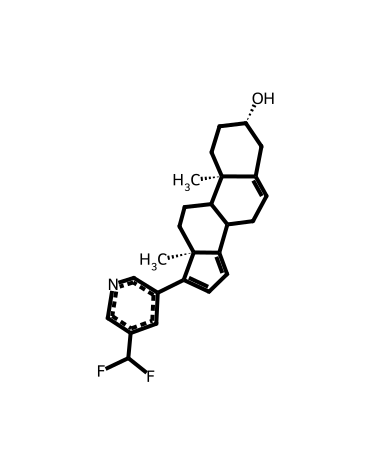 C[C@]12CCC3C(CC=C4C[C@@H](O)CC[C@@]43C)C1=CC=C2c1cncc(C(F)F)c1